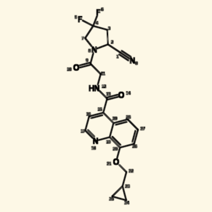 N#CC1CC(F)(F)CN1C(=O)CNC(=O)c1ccnc2c(OCC3CC3)cccc12